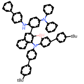 CC(C)(C)c1ccc(-c2ccc(N3c4ccc(-c5ccc(C(C)(C)C)cc5)cc4Bc4c(-c5cc(N(c6ccccc6)c6ccccc6)ccc5Nc5ccc(-c6ccccc6)cc5)cc5ccccc5c43)cc2)cc1